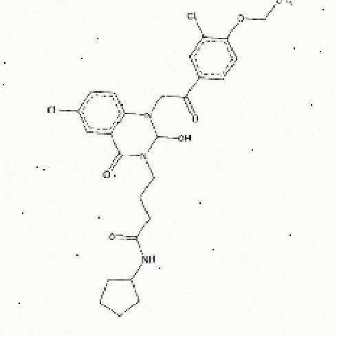 CCOc1ccc(C(=O)CN2c3ccc(Cl)cc3C(=O)N(CCCC(=O)NC3CCCC3)C2O)cc1Cl